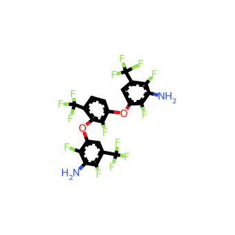 Nc1c(F)c(Oc2ccc(C(F)(F)F)c(Oc3cc(C(F)(F)F)c(F)c(N)c3F)c2F)cc(C(F)(F)F)c1F